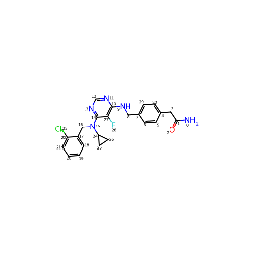 NC(=O)Cc1ccc(CNc2ncnc(N(Cc3ccccc3Cl)C3CC3)c2F)cc1